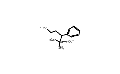 CCCCCCCCCCCCC(c1ccccc1)C([SiH3])(CCCCCCCC)CCCCCCCC